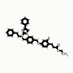 CCOC(=O)CCc1ccc(OCc2ccc(CN(CCc3ccccc3)c3nc(-c4ccccc4)cs3)cc2)cc1F